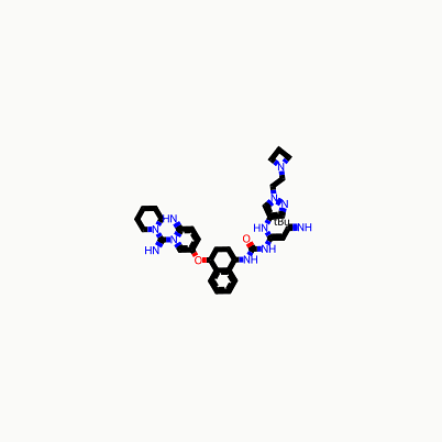 CC(C)(C)C(=N)/C=C(/NC(=O)NC1CCC(Oc2ccc(=N)n(C(=N)N3CCCCC3)c2)c2ccccc21)Nc1cnn(CCN2CCC2)c1